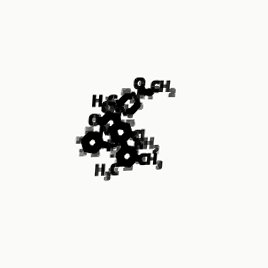 C=CC(=O)N1CCN(c2c(C#N)c(=O)n(-c3ccccc3C(C)C)c3cc(-c4cc(C)cc(C)c4N)c(Cl)cc23)[C@@H](C)C1